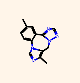 Cc1ccc2c(c1)-c1ncnn1Cc1c(C)ncn1-2